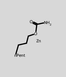 CCCCCCCCOC(N)=O.[Zn]